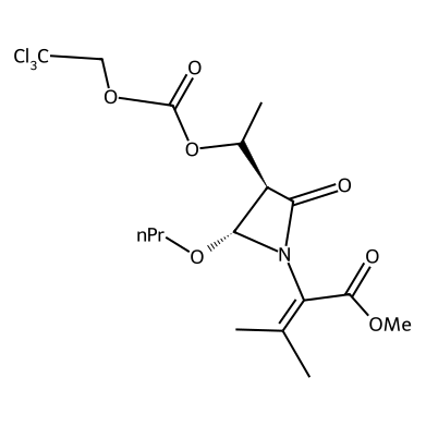 CCCO[C@@H]1[C@@H](C(C)OC(=O)OCC(Cl)(Cl)Cl)C(=O)N1C(C(=O)OC)=C(C)C